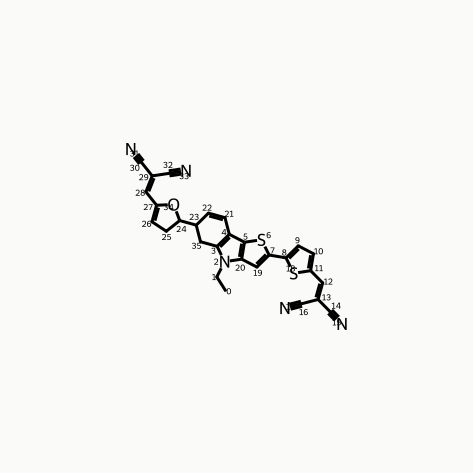 CCn1c2c(c3sc(-c4ccc(C=C(C#N)C#N)s4)cc31)C=CC(C1CC=C(C=C(C#N)C#N)O1)C2